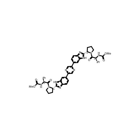 COC(=O)N[C@H](C(=O)N1CCC[C@H]1c1nc2ccc(-c3cnc(-c4ccc5nc([C@@H]6CCCN6C(=O)[C@@H](NC(=O)OC)C(C)C)[nH]c5c4)cn3)cc2[nH]1)C(C)C